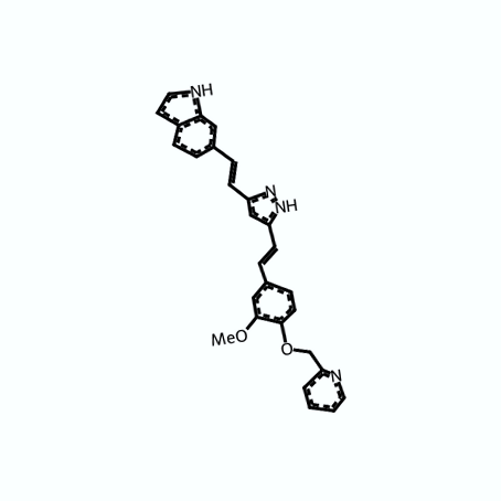 COc1cc(C=Cc2cc(C=Cc3ccc4cc[nH]c4c3)n[nH]2)ccc1OCc1ccccn1